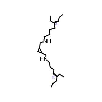 CC/C=C(\CC)CCCCNCC1CC1CNCCC/C=C(\CC)CCC